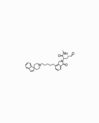 CNC(=O)C(CCC=O)N1Cc2c(CCCCCN3CCC4(C=Cc5ccccc54)CC3)cccc2C1=O